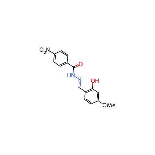 COc1ccc(/C=N/NC(=O)c2ccc([N+](=O)[O-])cc2)c(O)c1